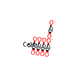 [Ce+3].[O]=[Al][O-].[O]=[Al][O-].[O]=[Al][O-].[O]=[Al][O-].[O]=[Al][O-].[Sr+2]